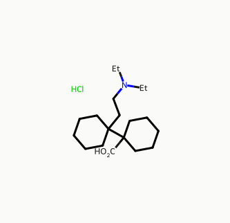 CCN(CC)CCC1(C2(C(=O)O)CCCCC2)CCCCC1.Cl